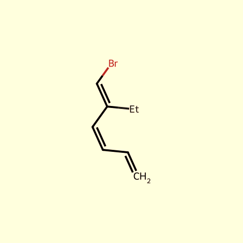 C=C/C=C\C(=C\Br)CC